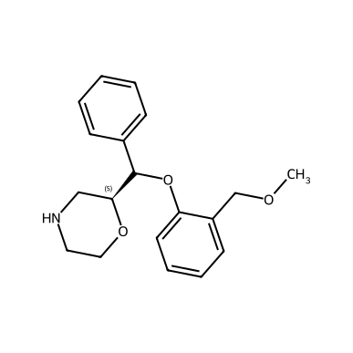 COCc1ccccc1OC(c1ccccc1)[C@@H]1CNCCO1